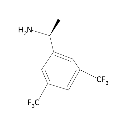 C[C@H](N)c1cc(C(F)(F)F)cc(C(F)(F)F)c1